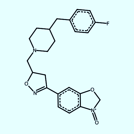 O=[N+]1COc2cc(C3=NOC(CN4CCC(Cc5ccc(F)cc5)CC4)C3)ccc21